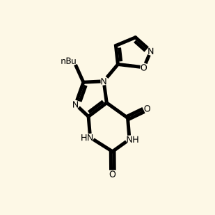 CCCCc1nc2[nH]c(=O)[nH]c(=O)c2n1-c1ccno1